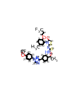 Cc1ccc(OCCC(F)(F)F)c(N2C(=O)CS/C2=N\C(=S)NOC(C)c2ccc(-c3ncn(-c4ccc(OC(F)(F)F)cc4)n3)cc2)c1